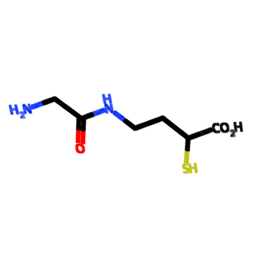 NCC(=O)NCCC(S)C(=O)O